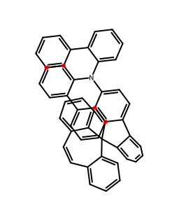 C1=Cc2ccccc2C2(c3ccccc31)c1ccccc1-c1ccc(N(c3ccccc3-c3ccccc3)c3ccccc3-c3ccccc3)cc12